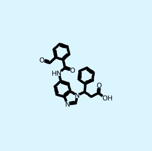 O=Cc1ccccc1C(=O)Nc1ccc2ncn(C(CC(=O)O)c3ccccc3)c2c1